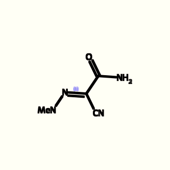 CN/N=C(\C#N)C(N)=O